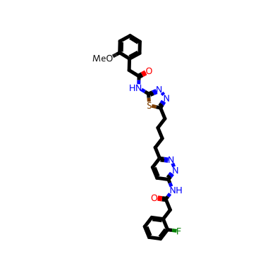 COc1ccccc1CC(=O)Nc1nnc(CCCCc2ccc(NC(=O)Cc3ccccc3F)nn2)s1